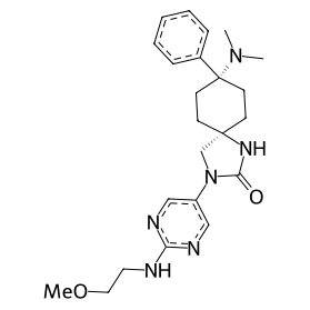 COCCNc1ncc(N2C[C@]3(CC[C@@](c4ccccc4)(N(C)C)CC3)NC2=O)cn1